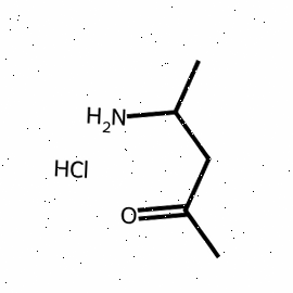 CC(=O)CC(C)N.Cl